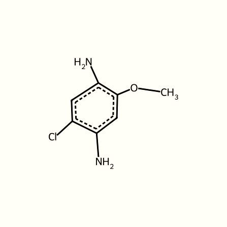 COc1cc(N)c(Cl)cc1N